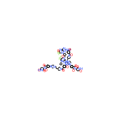 COc1cc(C(=O)N2CCC(CN3CCN(c4ccc5c(c4)C(=O)N(C4CCC(=O)NC4=O)C5=O)CC3)CC2)ccc1Nc1ncc2c(n1)N(C1CCC(CN3C(=O)C(F)(F)CN(C4CCCC4)c4nc(Nc5ccc(C(=O)N6CCC(CCN7CCN(c8ccc9c(c8)C(=O)N(C8CCC(=O)NC8=O)C9=O)CC7)CC6)cc5OC)ncc43)C1)CC(F)(F)C(=O)N2C